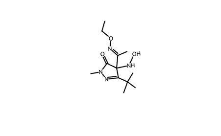 CCON=C(C)C1(NO)C(=O)N(C)N=C1C(C)(C)C